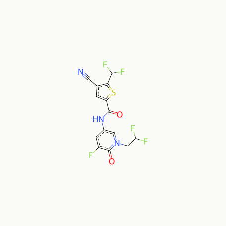 N#Cc1cc(C(=O)Nc2cc(F)c(=O)n(CC(F)F)c2)sc1C(F)F